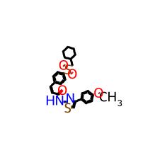 COc1ccc(-c2csc(NC(=O)/C=C\c3ccc(S(=O)(=O)CC4CCCCC4)cc3)n2)cc1